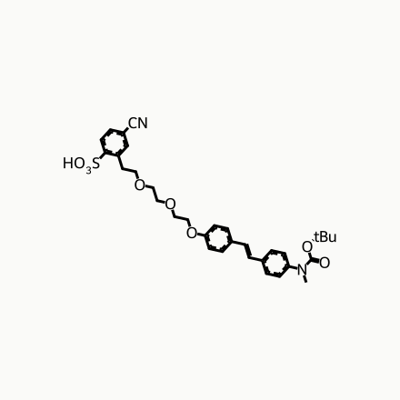 CN(C(=O)OC(C)(C)C)c1ccc(C=Cc2ccc(OCCOCCOCCc3cc(C#N)ccc3S(=O)(=O)O)cc2)cc1